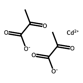 CC(=O)C(=O)[O-].CC(=O)C(=O)[O-].[Cd+2]